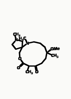 CO[C@]1(C)CCCN(C)C2(CCN(C)C2)COC(=O)C(C)C(=O)CC1